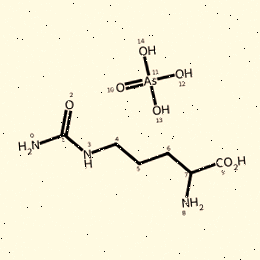 NC(=O)NCCCC(N)C(=O)O.O=[As](O)(O)O